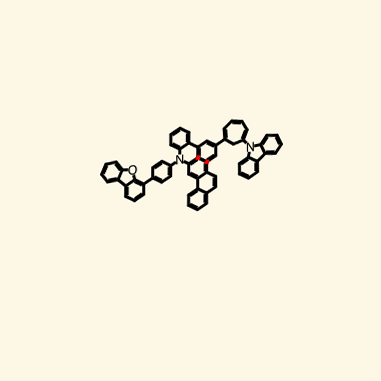 C1=CC=C(n2c3ccccc3c3ccccc32)CC(c2cccc(-c3ccccc3N(c3ccc(-c4cccc5c4oc4ccccc45)cc3)c3ccc4ccc5ccccc5c4c3)c2)=C1